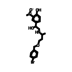 CC(CCOCc1ccc(Br)cc1)NCC(O)c1ccc(O)c([S+](C)[O-])c1